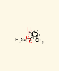 Bc1cccc(C)c1C(=O)OCC